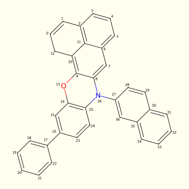 C1=Cc2cccc3cc4c(c(c23)C1)Oc1cc(-c2ccccc2)ccc1N4c1ccc2ccccc2c1